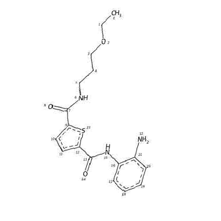 CCOCCCNC(=O)c1ccc(C(=O)Nc2ccccc2N)s1